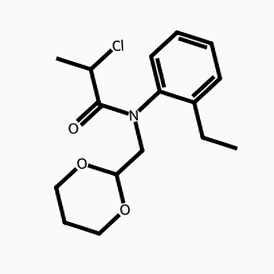 CCc1ccccc1N(CC1OCCCO1)C(=O)C(C)Cl